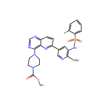 COc1ncc(-c2ccc3ncnc(N4CCN(C(=O)OC(C)(C)C)CC4)c3n2)cc1NS(=O)(=O)c1ccccc1F